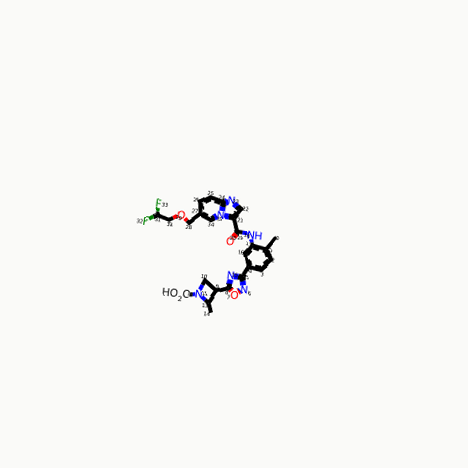 Cc1ccc(-c2noc(C3CN(C(=O)O)C3C)n2)cc1NC(=O)c1cnc2ccc(COCC(F)F)cn12